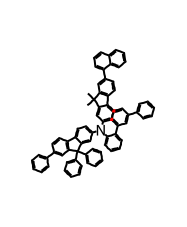 CC1(C)c2cc(-c3cccc4ccccc34)ccc2-c2ccc(N(c3ccc4c(c3)C(c3ccccc3)(c3ccccc3)c3cc(-c5ccccc5)ccc3-4)c3ccccc3-c3cccc(-c4ccccc4)c3)cc21